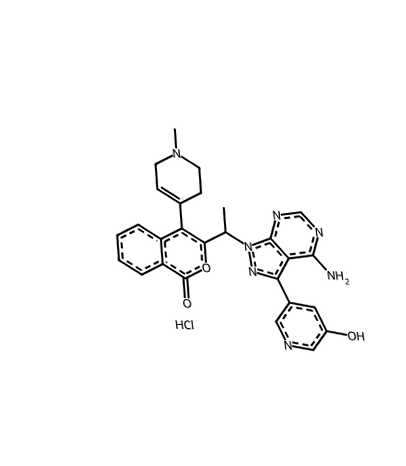 CC(c1oc(=O)c2ccccc2c1C1=CCN(C)CC1)n1nc(-c2cncc(O)c2)c2c(N)ncnc21.Cl